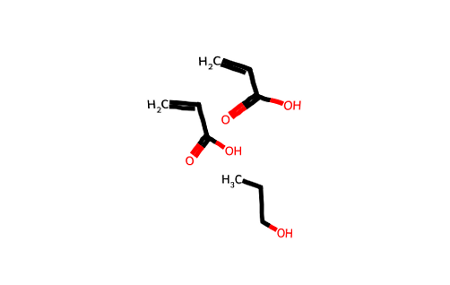 C=CC(=O)O.C=CC(=O)O.CCCO